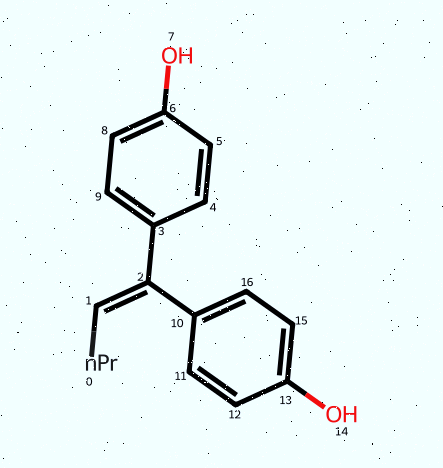 CCCC=C(c1ccc(O)cc1)c1ccc(O)cc1